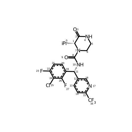 CC(C)[C@@H]1C(=O)NCCN1C(=O)N[C@H](c1ccc(C(F)(F)F)nc1)c1ccc(F)c(Cl)c1F